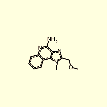 COCc1nc2c(N)nc3ccccc3c2n1C